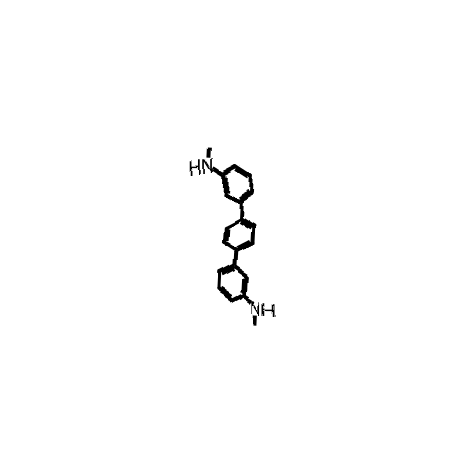 CNc1cccc(-c2ccc(-c3cccc(NC)c3)cc2)c1